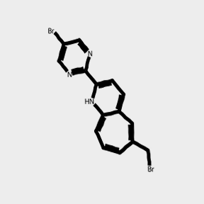 BrCC1=CC2=CC=C(c3ncc(Br)cn3)NC2=CC=C1